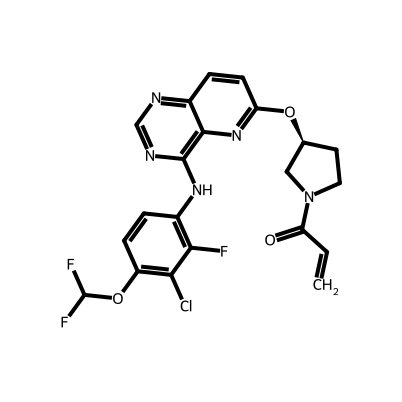 C=CC(=O)N1CC[C@H](Oc2ccc3ncnc(Nc4ccc(OC(F)F)c(Cl)c4F)c3n2)C1